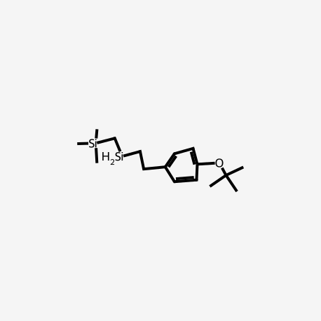 CC(C)(C)Oc1ccc(CC[SiH2]C[Si](C)(C)C)cc1